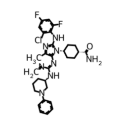 C=N/C(=N\c1c(C)nc(Nc2c(F)cc(F)cc2Cl)n1[C@H]1CC[C@@H](C(N)=O)CC1)N[C@@H]1CCCN(c2ccccc2)C1